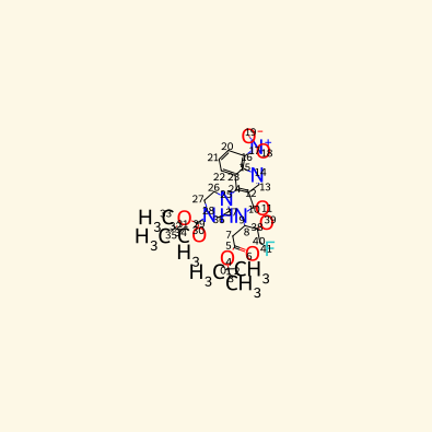 CC(C)(C)OC(=O)CC(NC(=O)c1cnc2c([N+](=O)[O-])cccc2c1N1CCN(C(=O)OC(C)(C)C)CC1)C(=O)CF